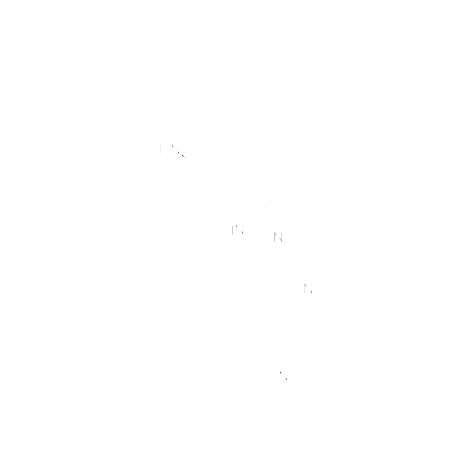 Cc1ncc(-c2cnc3cnc(NC(=O)[C@H]4CC[C@H](NCCC(F)(F)F)CC4)cc3c2)o1